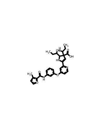 CCC(O)C1NC(c2cc(Oc3cccc(NC(=O)c4occc4C)c3)ccn2)=CC1(C(=O)O)C(O)CC